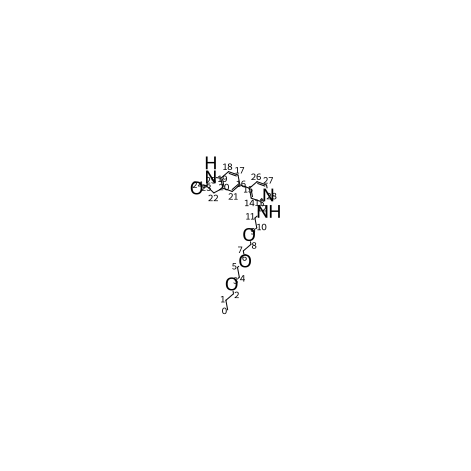 CCCOCCOCCOCCNc1cc(-c2ccc3c(c2)CC(=O)N3)ccn1